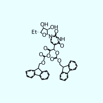 CC[C@H]1O[C@@H](n2cc(C(OC(=O)OCC3c4ccccc4-c4ccccc43)C(=O)OC(=O)OCC3c4ccccc4-c4ccccc43)c(=O)[nH]c2=O)[C@H](O)[C@@H]1O